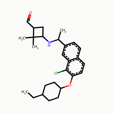 CCC1CCC(Oc2ccc3ccc(C(C)NC4CC(C=O)C4(C)C)cc3c2Cl)CC1